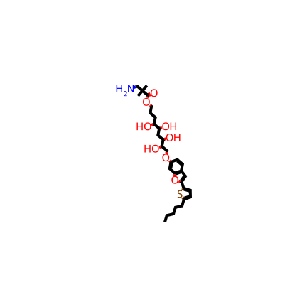 CCCCCc1ccc(-c2cc3ccc(OCC(O)C(O)CC(O)C(O)CCCOC(=O)C(C)(C)CN)cc3o2)s1